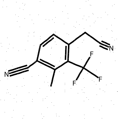 Cc1c(C#N)ccc(CC#N)c1C(F)(F)F